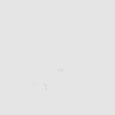 Cc1ccccc1Oc1ccc(C(=O)N[C@@H]2CCC[C@@H]2C(=O)NO)cc1